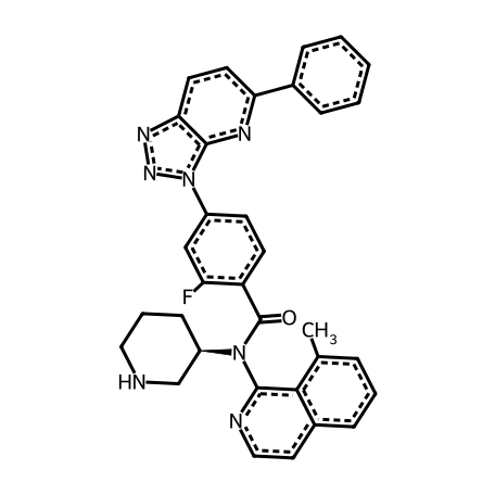 Cc1cccc2ccnc(N(C(=O)c3ccc(-n4nnc5ccc(-c6ccccc6)nc54)cc3F)[C@@H]3CCCNC3)c12